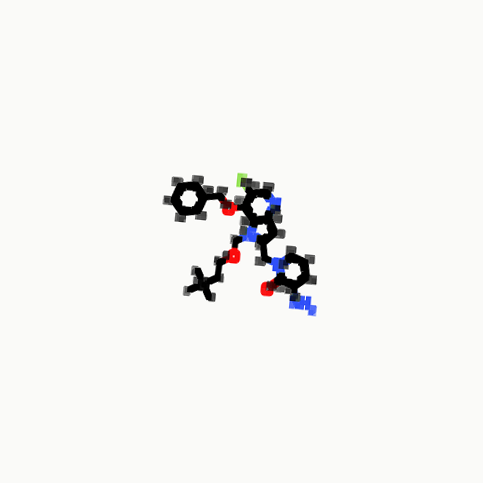 C[Si](C)(C)CCOCn1c(Cn2cccc(N)c2=O)cc2ncc(F)c(OCc3ccccc3)c21